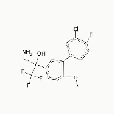 COc1ccc(C(O)(CN)C(F)(F)F)cc1-c1ccc(F)c(Cl)c1